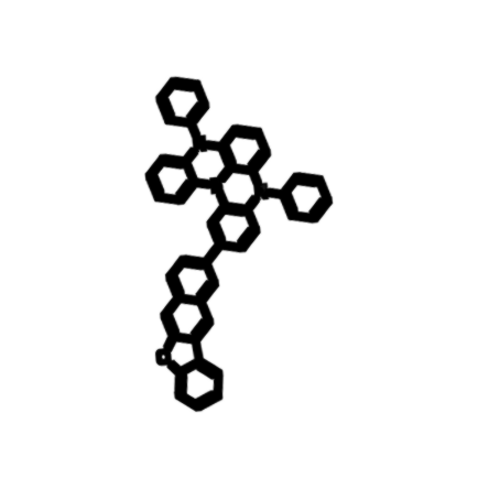 c1ccc(N2c3ccccc3B3c4cc(-c5ccc6cc7oc8ccccc8c7cc6c5)ccc4N(c4ccccc4)c4cccc2c43)cc1